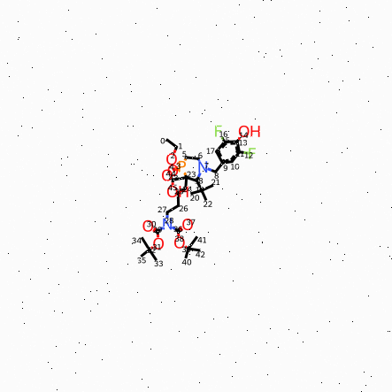 CCOP1(=O)CCN(Cc2cc(F)c(O)c(F)c2)C(C(C)(C)C)C1(CCCCN(C(=O)OC(C)(C)C)C(=O)OC(C)(C)C)C(=O)O